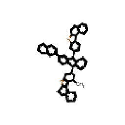 CC1CC(c2c3ccccc3c(-c3ccc4c(c3)SC3C=Cc5ccccc5C43)c3cc(-c4ccc5ccccc5c4)ccc23)=Cc2sc3ccc4ccccc4c3c21